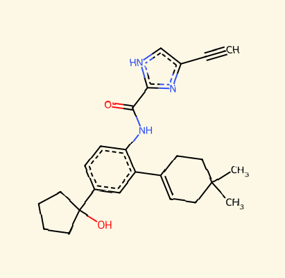 C#Cc1c[nH]c(C(=O)Nc2ccc(C3(O)CCCC3)cc2C2=CCC(C)(C)CC2)n1